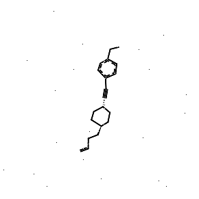 C=CCC[C@H]1CC[C@H](C#Cc2ccc(CC)cc2)CC1